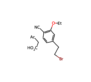 CC(=O)CC(=O)O.CCOc1cc(CCBr)ccc1C#N